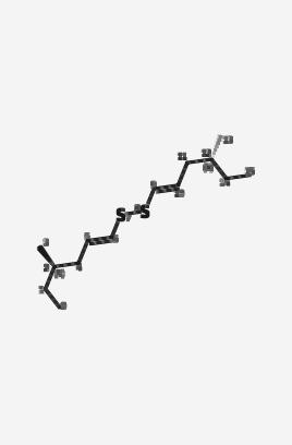 CC[C@@H](C)CC=CSSC=CC[C@H](C)CC